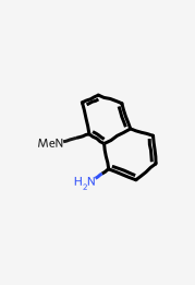 CNc1cccc2cccc(N)c12